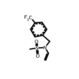 C=CN(Cc1ccc(C(F)(F)F)cc1)S(C)(=O)=O